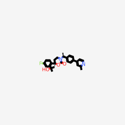 Cc1cc(-c2ccc([C@H](C)N3CC[C@](CC(C)(C)O)(c4ccc(F)cc4)OC3=O)cc2)ccn1